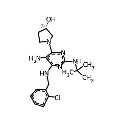 CC(C)(C)Nc1nc(NCc2ccccc2Cl)c(N)c(N2CC[C@H](O)C2)n1